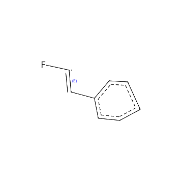 F/[C]=C/c1ccccc1